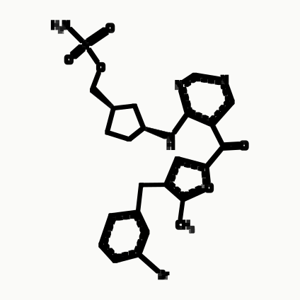 Cc1oc(C(=O)c2cncnc2N[C@H]2CC[C@@H](COS(N)(=O)=O)C2)cc1Cc1cccc(Br)c1